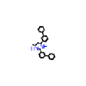 CC1CC(c2cccc(-c3ccccc3)c2)NC(c2cccc(-c3ccccc3)c2)N1